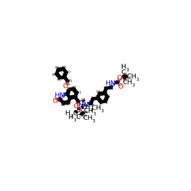 C[C@H](Cc1cccc(CCNC(=O)OC(C)(C)C)c1)NC[C@H](O[Si](C)(C)C(C)(C)C)c1ccc(OCc2ccccc2)c2[nH]c(=O)ccc12